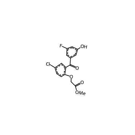 COC(=O)COc1ccc(Cl)cc1C(=O)c1cc(O)cc(F)c1